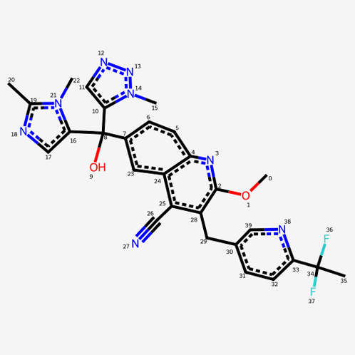 COc1nc2ccc(C(O)(c3cnnn3C)c3cnc(C)n3C)cc2c(C#N)c1Cc1ccc(C(C)(F)F)nc1